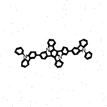 c1ccc(-n2c3ccccc3c3cc(-c4ccc5c6c7c8ccccc8n8c9cc(-c%10ccc%11c(c%10)c%10ccccc%10n%11-c%10ccccc%10)ccc9c(c9c%10ccccc%10n(c5c4)c96)c78)ccc32)cc1